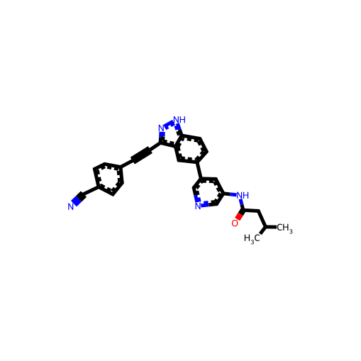 CC(C)CC(=O)Nc1cncc(-c2ccc3[nH]nc(C#Cc4ccc(C#N)cc4)c3c2)c1